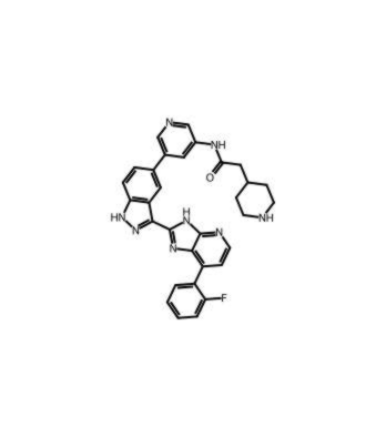 O=C(CC1CCNCC1)Nc1cncc(-c2ccc3[nH]nc(-c4nc5c(-c6ccccc6F)ccnc5[nH]4)c3c2)c1